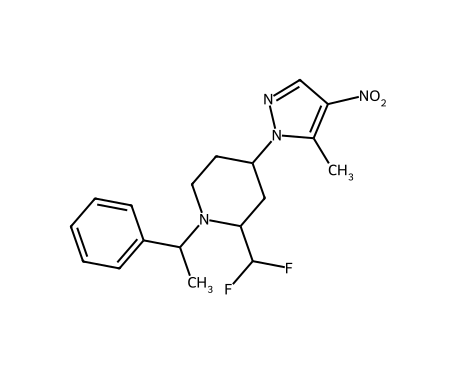 Cc1c([N+](=O)[O-])cnn1C1CCN(C(C)c2ccccc2)C(C(F)F)C1